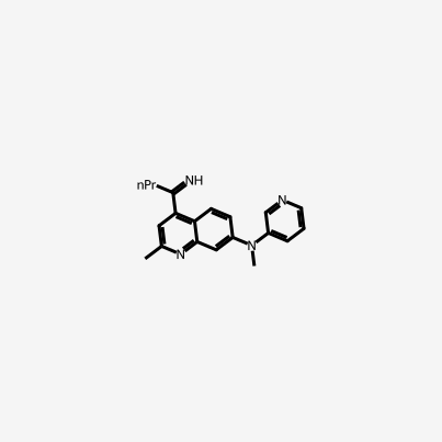 CCCC(=N)c1cc(C)nc2cc(N(C)c3cccnc3)ccc12